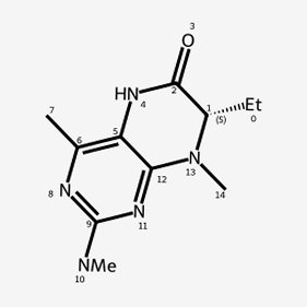 CC[C@H]1C(=O)Nc2c(C)nc(NC)nc2N1C